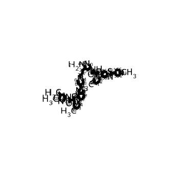 Cc1cc(NC(=O)C(=O)N2C[C@@H](C)CC[C@@H]2c2ccc3sc(C4CCN(CCCc5cc(NC(=O)C(=O)N6C[C@@H](C)CC[C@@H]6c6ccc7sc(C8CCN(C)CC8)nc7c6)cnc5N)CC4)nc3c2)cnc1C